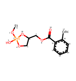 CCO[PH]1(O)OCC(COC(=O)c2ccccc2OC(C)=O)O1